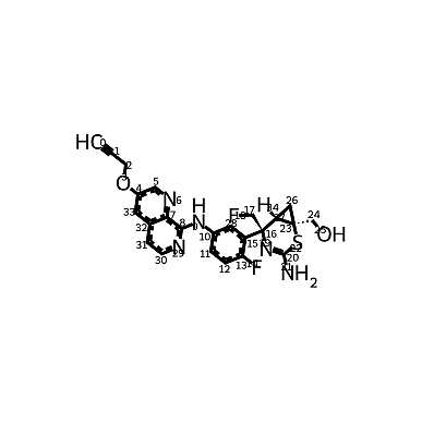 C#CCOc1cnc2c(Nc3ccc(F)c([C@@]4(CF)N=C(N)S[C@]5(CO)C[C@H]54)c3)nccc2c1